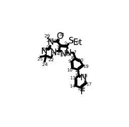 CCSc1c2c(nn1Cc1ccc(-c3ccc(F)cn3)cc1)N1CC(C)(C)N=C1N(C)C2=O